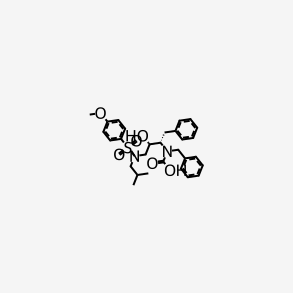 COc1ccc(S(=O)(=O)N(CC(C)C)C[C@@H](O)[C@H](Cc2ccccc2)N(Cc2ccccc2)C(=O)O)cc1